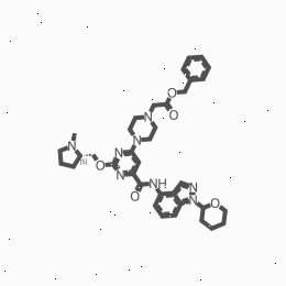 CN1CCC[C@H]1COc1nc(C(=O)Nc2cccc3c2cnn3C2CCCCO2)cc(N2CCN(CC(=O)OCc3ccccc3)CC2)n1